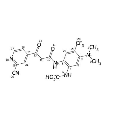 CN(C)c1cc(NC(=O)O)c(NC(=O)CC(=O)c2ccnc(C#N)c2)cc1C(F)(F)F